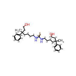 CC(CCO)(CCCCNC(=S)NCCCCC(C)(CCO)c1ccccc1)c1ccccc1